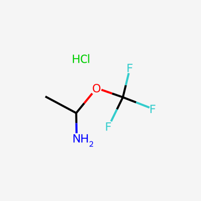 CC(N)OC(F)(F)F.Cl